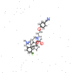 CC(=O)O[C@H]1CCC[C@@H]1C1(C2CCN(CCCOc3ccc(C#N)cc3)CC2)CN(C)Cc2ccc(F)cc21